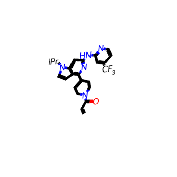 C=CC(=O)N1CC=C(c2nc(Nc3cc(C(F)(F)F)ccn3)cc3c2ccn3C(C)C)CC1